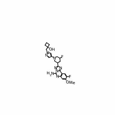 COc1cc2nc(N)n3nc(C4CC(F)CN(c5cnn(CC6(O)CCC6)c5)C4)nc3c2cc1F